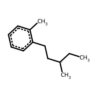 CC[C](C)CCc1ccccc1C